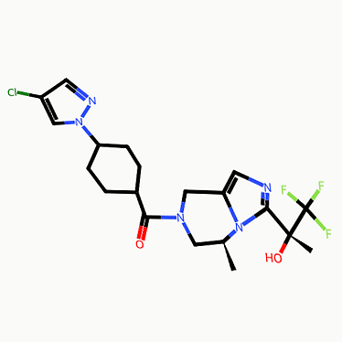 C[C@H]1CN(C(=O)C2CCC(n3cc(Cl)cn3)CC2)Cc2cnc([C@@](C)(O)C(F)(F)F)n21